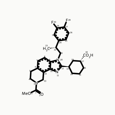 COC(=O)N1CCc2ccc3c(nc([C@@H]4CCC[C@@H](C(=O)O)C4)n3C[C@H](C)c3ccc(F)c(F)c3)c2C1